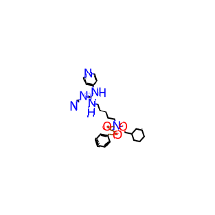 N#C/N=C(\NCCCCCN(OCC1CCCCC1)S(=O)(=O)c1ccccc1)Nc1ccncc1